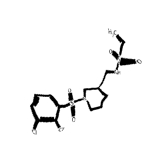 C=CS(=O)(=O)NC[C@H]1CCCN(S(=O)(=O)c2cccc(Cl)c2Cl)C1